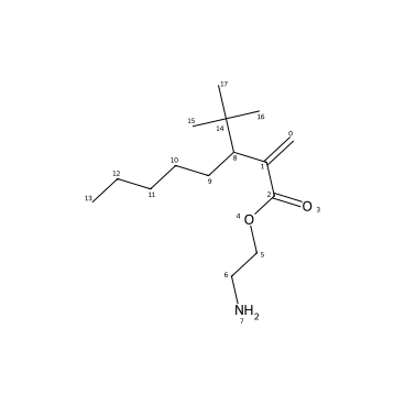 C=C(C(=O)OCCN)C(CCCCC)C(C)(C)C